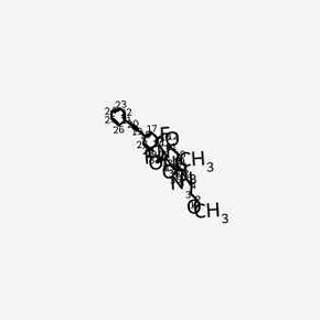 COCCCn1cc([C@]2(C)CC(=O)N(c3c(F)cc(C#Cc4ccccc4)cc3F)C(=O)N2C)cn1